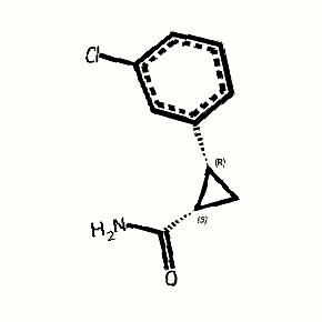 NC(=O)[C@H]1C[C@H]1c1cccc(Cl)c1